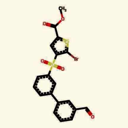 COC(=O)c1cc(S(=O)(=O)c2cccc(-c3cccc(C=O)c3)c2)c(Br)s1